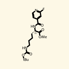 COC(=O)[C@H](CCCCNC(=O)OC(C)(C)C)NC(=O)c1ccnc(F)c1